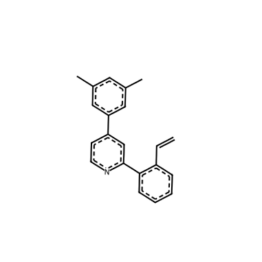 C=Cc1ccccc1-c1cc(-c2cc(C)cc(C)c2)ccn1